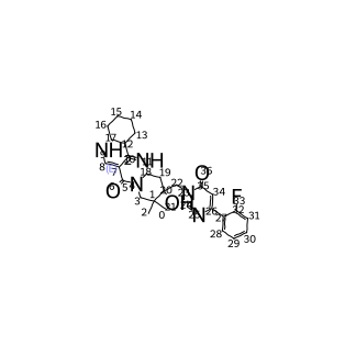 CC1(C)CN(C(=O)/C(=C/N)C(=N)C2CCCCC2)CCC1(O)Cn1cnc(-c2ccccc2F)cc1=O